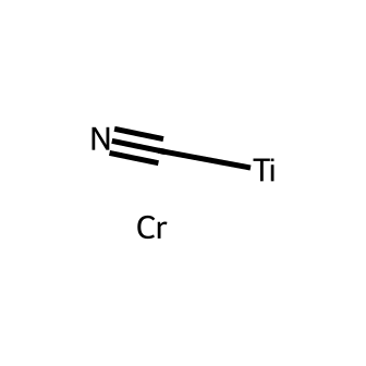 N#[C][Ti].[Cr]